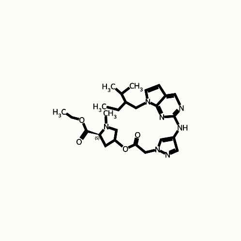 CCOC(=O)[C@@H]1CC(OC(=O)Cn2cc(Nc3ncc4ccn(CC(CC)C(C)C)c4n3)cn2)CN1C